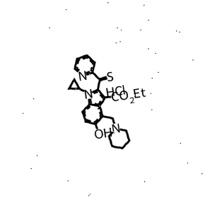 CCOC(=O)c1c(C(=S)c2ccccn2)n(C2CC2)c2ccc(O)c(CN3CCCCC3)c12.Cl